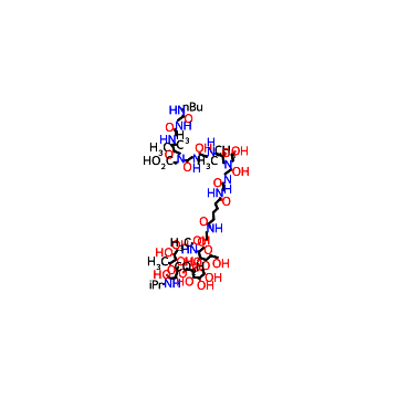 CCCCNC(=O)CNC(=O)CNC(C)(C)C(=O)CN(CC(=O)O)C(=O)CNC(O)CNC(C)(C)C(=O)CN(CCO)C(O)CNC(=O)CNC(=O)CCCCC(=O)NCCO[C@@H]1OC(CO)[C@@H](O[C@@H]2OC(CO[C@](CC(O)NC(C)C)(OC(C)C(O)C(O)CO)C(=O)O)[C@H](O)C(O)C2O)C(O)C1NC(C)O